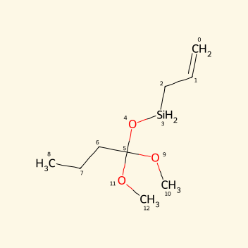 C=CC[SiH2]OC(CCC)(OC)OC